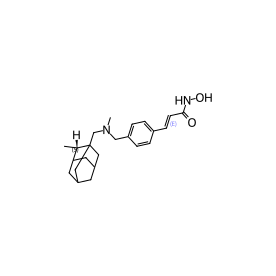 C[C@H]1C2CC3CC(C2)CC1(CN(C)Cc1ccc(/C=C/C(=O)NO)cc1)C3